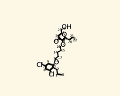 C=CCc1c(Cl)cc(Cl)cc1OCCCCCOc1c(C=CC)oc(CO)cc1=O